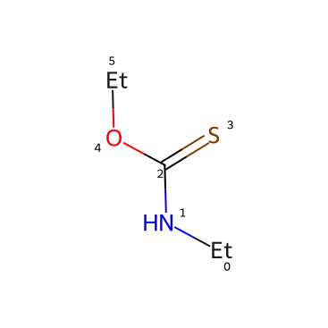 CCNC(=S)OCC